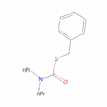 CCCN(CCC)C(=O)SCc1ccccc1